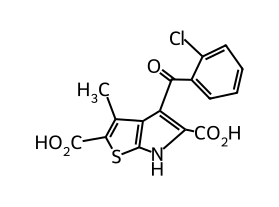 Cc1c(C(=O)O)sc2[nH]c(C(=O)O)c(C(=O)c3ccccc3Cl)c12